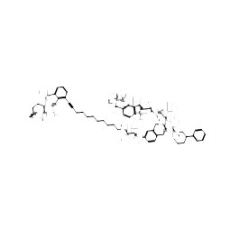 CC(C)(C)[C@H](NC(=O)c1cc2cc(C(F)(F)P(=O)(O)O)ccc2s1)C(=O)N1Cc2cc(OCC(=O)NCCCCCCCCCC#Cc3cccc4c3C(=O)N(C3CCC(=O)NC3=O)C4=O)ccc2C[C@H]1C(=O)N1CCCC(c2ccccc2)C1